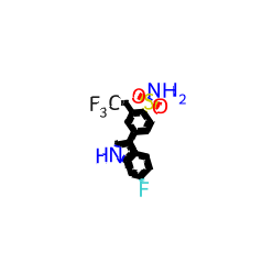 NS(=O)(=O)c1ccc(-c2c[nH]c3cc(F)ccc23)cc1CC(F)(F)F